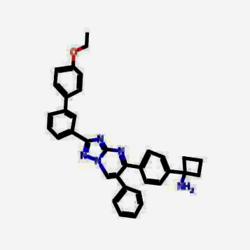 CCOc1ccc(-c2cccc(-c3nc4nc(-c5ccc(C6(N)CCC6)cc5)c(-c5ccccc5)cn4n3)c2)cc1